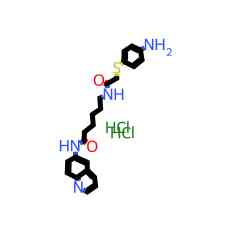 Cl.Cl.Nc1ccc(SCC(=O)NCCCCCC(=O)Nc2ccc3ncccc3c2)cc1